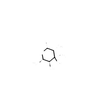 C[C@H]1O[C@H](O)[C@H](O)[C@@](C)(O)[C@H]1O